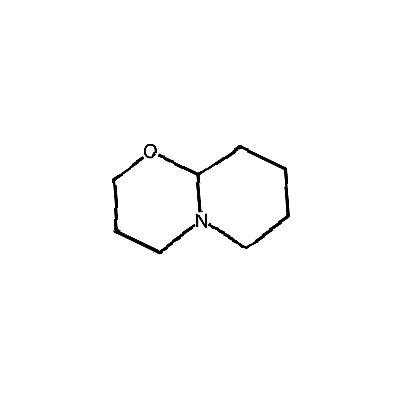 C1CCN2CCCOC2C1